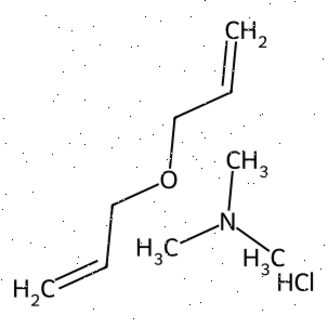 C=CCOCC=C.CN(C)C.Cl